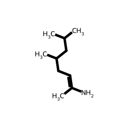 C/C(N)=C\CC(C)CC(C)C